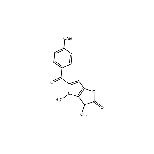 COc1ccc(C(=O)c2cc3c(n2C)C(C)C(=O)O3)cc1